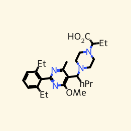 CCCC(c1c(C)nc(-c2c(CC)cccc2CC)nc1OC)N1CCN(C(CC)C(=O)O)CC1